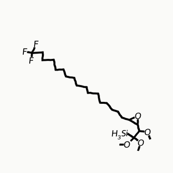 COC(C1OC1CCCCCCCCCCCCCCCCC(F)(F)F)C([SiH3])(OC)OC